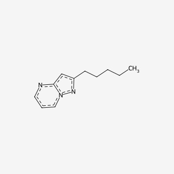 CCCCCc1cc2ncccn2n1